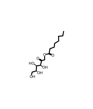 CCCCCCCC(=O)OCC(=O)[C@@H](O)[C@H](O)[C@H](O)CO